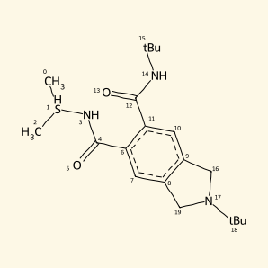 C[SH](C)NC(=O)c1cc2c(cc1C(=O)NC(C)(C)C)CN(C(C)(C)C)C2